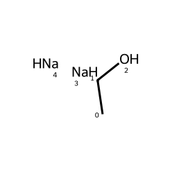 CCO.[NaH].[NaH]